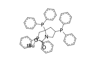 CC(C)(C)OC(=O)N1CC(P(c2ccccc2)c2ccccc2)CC1(CP(c1ccccc1)c1ccccc1)P(c1ccccc1)c1ccccc1